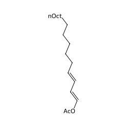 CCCCCCCCCCCCCC=CC=COC(C)=O